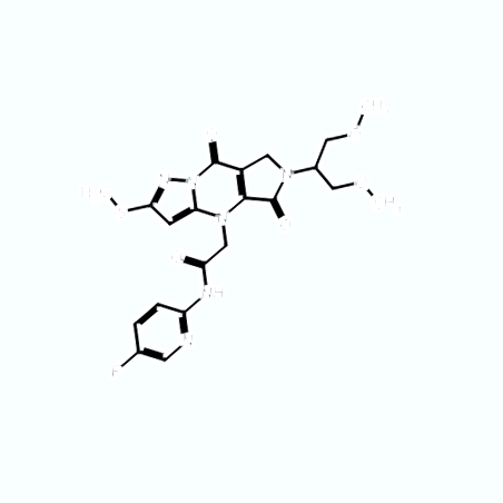 COCC(COC)N1Cc2c(n(CC(=O)Nc3ccc(F)cn3)c3cc(SC)nn3c2=O)C1=O